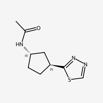 CC(=O)N[C@H]1CC[C@H](c2nncs2)C1